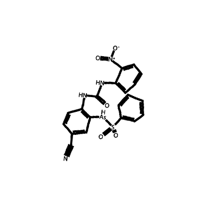 N#Cc1ccc(NC(=O)Nc2ccccc2[N+](=O)[O-])c([AsH]S(=O)(=O)c2ccccc2)c1